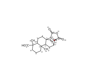 CC(C)C1=CC23CCC4C(C)(C(=O)O)CCCC4(C)C2CC1C1C(=O)OC(=O)C13